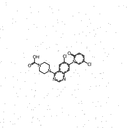 O=C(O)N1CCN(c2ncnc3cc(-n4cc(Cl)ccc4=O)c(Cl)cc23)CC1